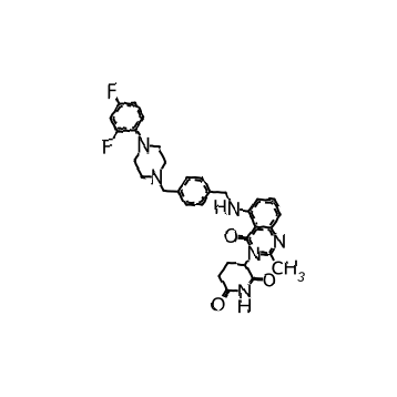 Cc1nc2cccc(NCc3ccc(CN4CCN(c5ccc(F)cc5F)CC4)cc3)c2c(=O)n1C1CCC(=O)NC1=O